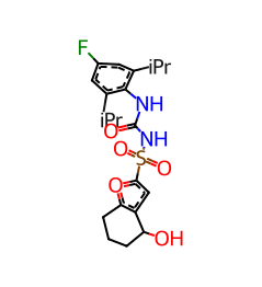 CC(C)c1cc(F)cc(C(C)C)c1NC(=O)NS(=O)(=O)c1cc2c(o1)CCCC2O